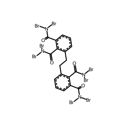 O=C(c1cccc(CCc2cccc(C(=O)N(Br)Br)c2C(=O)N(Br)Br)c1C(=O)N(Br)Br)N(Br)Br